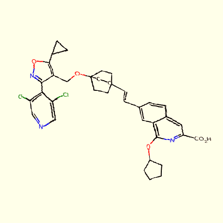 O=C(O)c1cc2ccc(C=CC34CCC(OCc5c(-c6c(Cl)cncc6Cl)noc5C5CC5)(CC3)CC4)cc2c(OC2CCCC2)n1